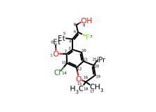 CCOc1c(C(CC)=C(F)CO)cc2c(c1Cl)OC(C)(C)C=C2C(C)C